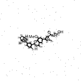 COc1cc(-c2cc(C(=O)NCCO)n(C)c2)cc([C@@H](C)NC(=O)c2cc(N3C[C@H]4CC[C@@H](C3)N4)ccc2C)c1